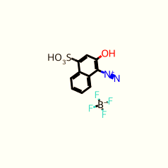 F[B-](F)(F)F.N#[N+]c1c(O)cc(S(=O)(=O)O)c2ccccc12